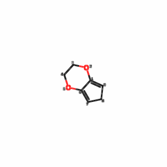 C1=C2OCCOC2=CC1